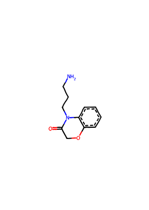 NCCCN1C(=O)COc2ccccc21